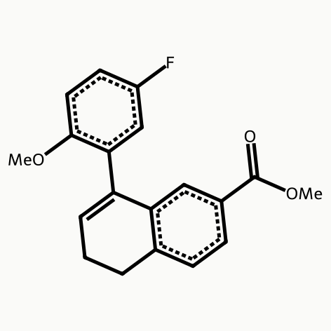 COC(=O)c1ccc2c(c1)C(c1cc(F)ccc1OC)=CCC2